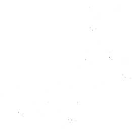 C=CC(=O)N1CCC(c2cc(-c3ccc(Oc4ccccn4)c(OC)c3)cc3cncnc23)C1